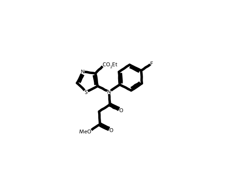 CCOC(=O)c1ncsc1N(C(=O)CC(=O)OC)c1ccc(F)cc1